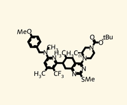 COc1ccc(CN(C)c2cc(C)c(C(F)(F)F)c(C3Cc4nc(SC)nc(N5CCN(C(=O)OC(C)(C)C)C[C@@H]5C)c4CC3C)n2)cc1